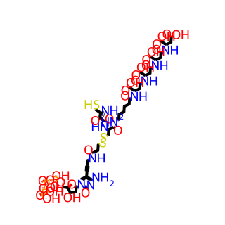 Nc1nc(=O)n(C2CC(O)C(COP(=O)(O)OP(=O)(O)OP(=O)(O)O)O2)cc1C#CCNC(=O)CCSSCC(NC(=O)C(=O)[C@@H](N)CS)C(=O)NCCCCCC(=O)NC(CC(=O)NC(CC(=O)NC(CC(=O)NC(CC(=O)O)C(=O)O)C(=O)O)C(=O)O)C(=O)O